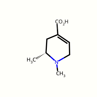 C[C@@H]1CC(C(=O)O)=CCN1C